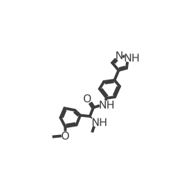 CN[C@@H](C(=O)Nc1ccc(-c2cn[nH]c2)cc1)c1cccc(OC)c1